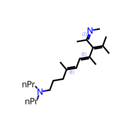 CCCN(CCC)CCC/C(C)=C/C=C(\C)C(=C(C)C)/C(C)=N\C